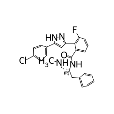 CNC[C@@H](Cc1ccccc1)NC(=O)c1cccc(F)c1-c1cc(-c2ccc(Cl)cc2)[nH]n1